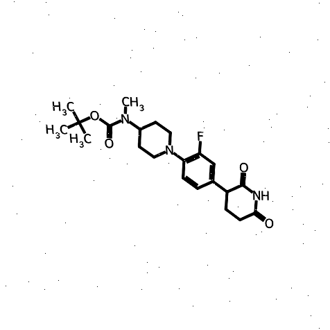 CN(C(=O)OC(C)(C)C)C1CCN(c2ccc(C3CCC(=O)NC3=O)cc2F)CC1